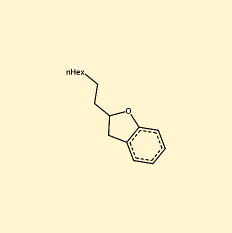 CCCCCCCCC1Cc2ccccc2O1